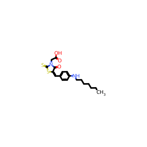 CCCCCCCNc1ccc(C=C2SC(=S)N(CC(=O)O)C2=O)cc1